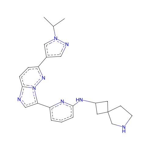 CC(C)n1cc(-c2ccc3ncc(-c4cccc(NC5CC6(CCNC6)C5)n4)n3n2)cn1